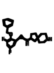 Fc1cc(F)c(OCc2ccccc2)c(C2CC2NC2CCC3(CCNCC3)C2)c1